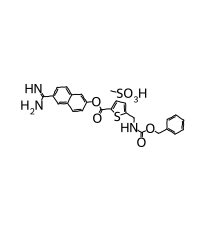 CS(=O)(=O)O.N=C(N)c1ccc2cc(OC(=O)c3ccc(CNC(=O)OCc4ccccc4)s3)ccc2c1